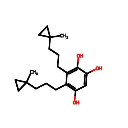 CC1(CCCc2c(O)cc(O)c(O)c2CCCC2(C)CC2)CC1